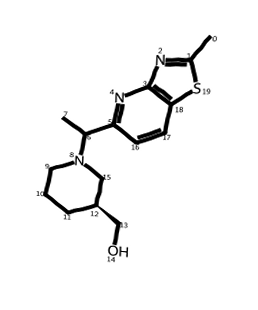 Cc1nc2nc(C(C)N3CCC[C@H](CO)C3)ccc2s1